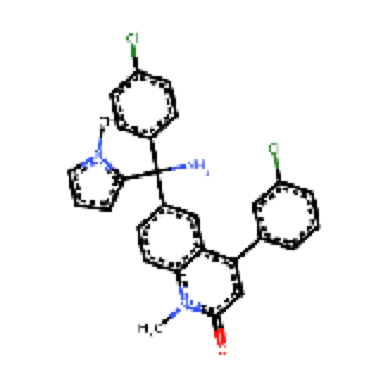 Cn1cccc1C(N)(c1ccc(Cl)cc1)c1ccc2c(c1)c(-c1cccc(Cl)c1)cc(=O)n2C